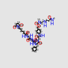 CNC(=O)CCNCCN(C)C(=O)OCc1ccc(NC(=O)CNC(=O)[C@H](Cc2ccccc2)NC(=O)CNC(=O)CNC(=O)CCCCCN2C(=O)C=CC2=O)cc1